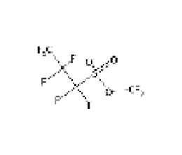 O=S(=O)(OC(F)(F)F)C(F)(F)C(F)(F)C(F)(F)F